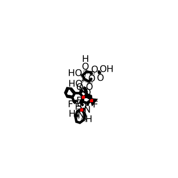 O=C(O)O[C@@H]1O[C@@H](OC(=O)c2cc(F)c3nc(N4[C@@H]5CC[C@H]4C[C@@H](OCc4c(-c6ccccc6C(F)(F)F)noc4C4CC4)C5)sc3c2)[C@H](O)[C@H](O)[C@@H]1O